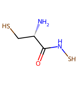 N[C@@H](CS)C(=O)NS